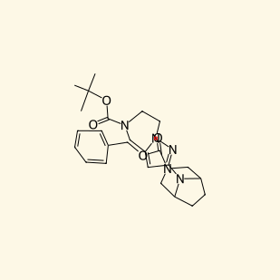 CC(C)(C)OC(=O)N1CCn2nc(N3C4CCC3CN(C(=O)OCc3ccccc3)C4)cc2C1